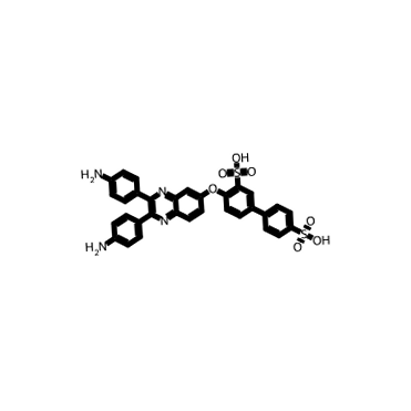 Nc1ccc(-c2nc3ccc(Oc4ccc(-c5ccc(S(=O)(=O)O)cc5)cc4S(=O)(=O)O)cc3nc2-c2ccc(N)cc2)cc1